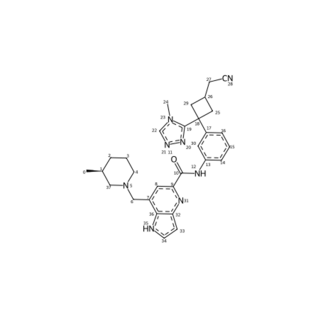 C[C@H]1CCCN(Cc2cc(C(=O)Nc3cccc(C4(c5nncn5C)CC(CC#N)C4)c3)nc3cc[nH]c23)C1